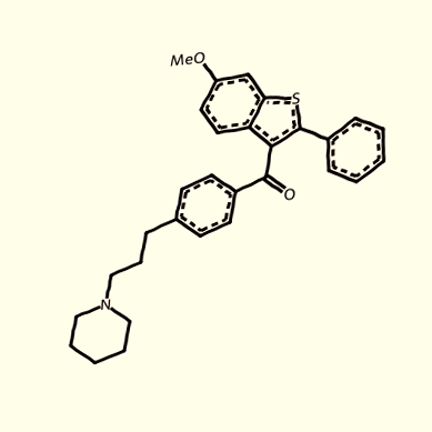 COc1ccc2c(C(=O)c3ccc(CCCN4CCCCC4)cc3)c(-c3ccccc3)sc2c1